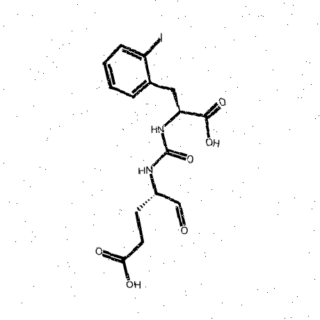 O=C[C@H](CCC(=O)O)NC(=O)N[C@@H](Cc1ccccc1I)C(=O)O